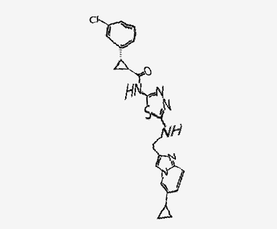 O=C(Nc1nnc(NCc2cn3cc(C4CC4)ccc3n2)s1)[C@H]1C[C@@H]1c1cccc(Cl)c1